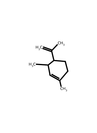 C=C(C)C1CCC(C)=CC1C